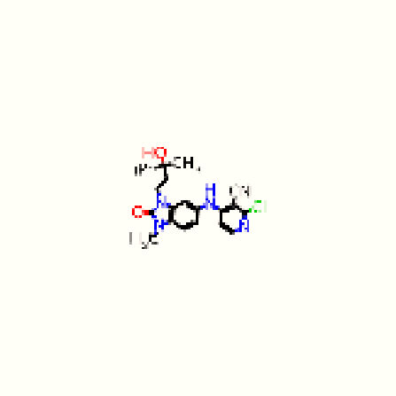 CC(C)C(C)(O)CCn1c(=O)n(C)c2ccc(Nc3ccnc(Cl)c3C#N)cc21